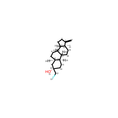 C=C1CC[C@H]2[C@@H]3CC[C@@H]4C[C@](O)(CF)CC[C@@H]4[C@H]3CC[C@]12C